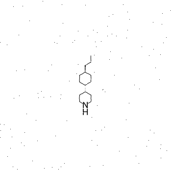 CCC[C@H]1CC[C@H](C2CCNCC2)CC1